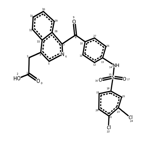 O=C(O)Cc1cnc(C(=O)c2ccc(NS(=O)(=O)c3ccc(Cl)c(Cl)c3)cc2)c2ccccc12